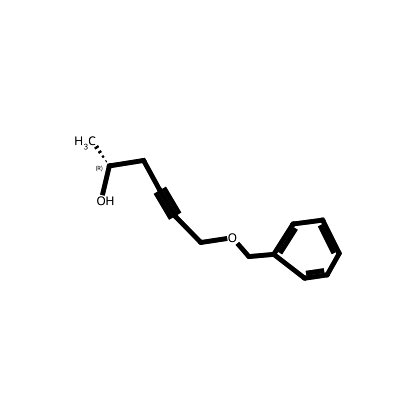 C[C@@H](O)CC#CCOCc1ccccc1